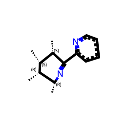 C[C@@H]1[C@H](C)[C@H](C)C(c2ccccn2)=N[C@@H]1C